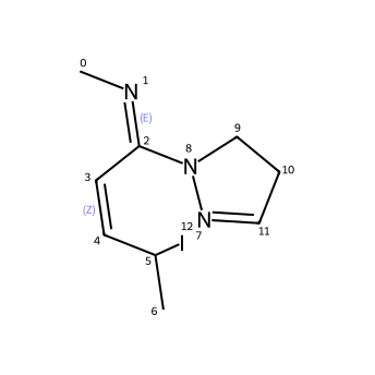 C/N=C(\C=C/C(C)I)N1CCC=N1